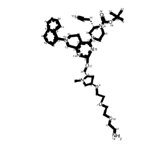 CN1C[C@H](OCCOCCOCCN)C[C@H]1COc1nc2c(c(N3CCN(C(=O)OC(C)(C)C)[C@@H](CC#N)C3)n1)CCN(c1cccc3ccccc13)C2